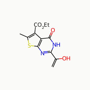 C=C(O)c1nc2sc(C)c(C(=O)OCC)c2c(=O)[nH]1